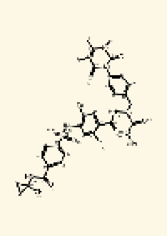 Cc1c(C)n(C)c(=O)n(-c2ccc(C[C@H](NC(=O)c3cc(F)c(NS(=O)(=O)c4ccc(C(=O)NC5(C#N)CC5)cc4)cc3F)C(=O)OC(C)C)cc2)c1=O